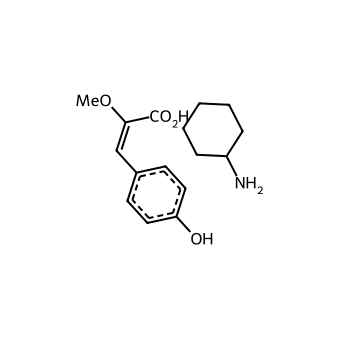 COC(=Cc1ccc(O)cc1)C(=O)O.NC1CCCCC1